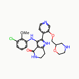 COc1c(Cl)cccc1Nc1c(-c2ccncc2OCC2CNCCO2)[nH]c2c1C(=O)NCC2